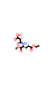 CCOC(=O)CC[C@H](NC(=O)CC(=O)O)C(=O)OC